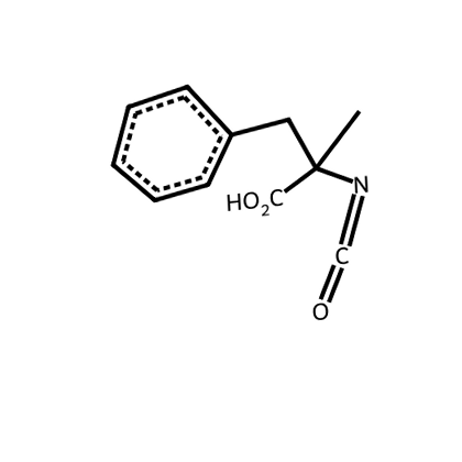 CC(Cc1ccccc1)(N=C=O)C(=O)O